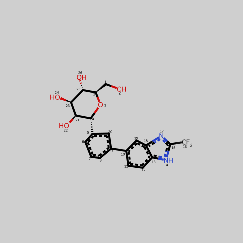 OC[C@H]1O[C@H](c2cccc(-c3ccc4[nH]c(C(F)(F)F)nc4c3)c2)[C@@H](O)[C@@H](O)[C@@H]1O